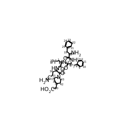 CC(C)C[C@@H](NC(=O)[C@@H](Cc1ccccc1)NC(=O)[C@H](N)Cc1ccccc1)C(=O)N[C@H](CCCN)C(=O)N1CCC(CC(=O)O)CC1